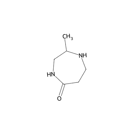 CC1CNC(=O)CCN1